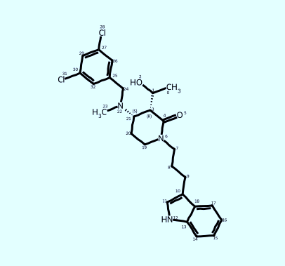 CC(O)[C@@H]1C(=O)N(CCCc2c[nH]c3ccccc23)CC[C@@H]1N(C)Cc1cc(Cl)cc(Cl)c1